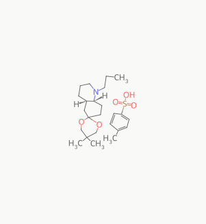 CCCN1CCC[C@H]2CC3(CC[C@H]21)OCC(C)(C)CO3.Cc1ccc(S(=O)(=O)O)cc1